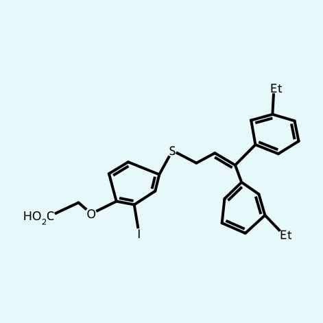 CCc1cccc(C(=CCSc2ccc(OCC(=O)O)c(I)c2)c2cccc(CC)c2)c1